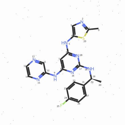 Cc1ncc(Nc2cc(Nc3cnccn3)nc(N[C@@H](C)c3ccc(F)cc3)n2)s1